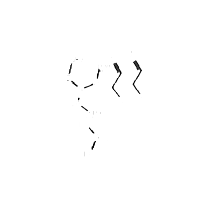 C=CCCl.C=CCCl.CCCCO[SiH](OCCCC)OCCCC.C[SiH2]C